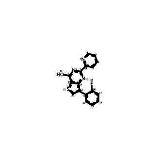 Oc1nc(-c2ccccn2)nc2c(-c3ccccc3F)csc12